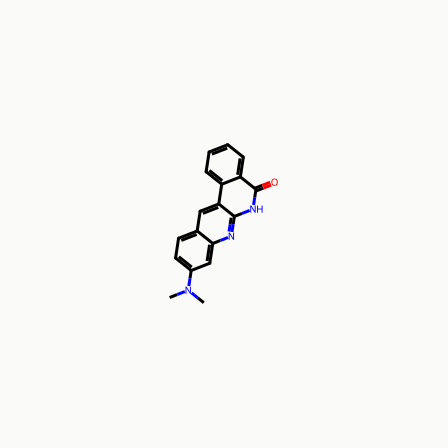 CN(C)c1ccc2cc3c(nc2c1)[nH]c(=O)c1ccccc13